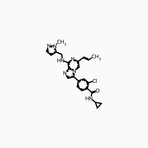 CC=Cc1cn2c(-c3ccc(C(=O)NC4CC4)c(Cl)c3)cnc2c(NCc2ccnn2C)n1